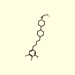 CC[SiH]1CCC(C2CCC(CCCCc3cc(F)c(F)c(F)c3)CC2)CC1